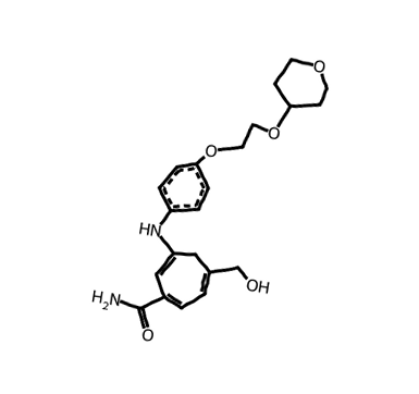 NC(=O)C1=CC=C(CO)CC(Nc2ccc(OCCOC3CCOCC3)cc2)=C1